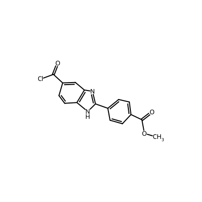 COC(=O)c1ccc(-c2nc3cc(C(=O)Cl)ccc3[nH]2)cc1